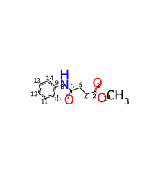 COC(=O)CCC(=O)Nc1[c]cccc1